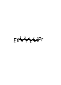 CCC=CCC=CCC=CC(C)C